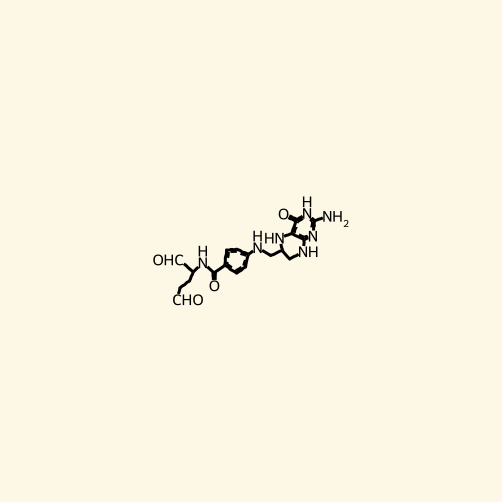 Nc1nc2c(c(=O)[nH]1)NC(CNc1ccc(C(=O)NC(C=O)CCC=O)cc1)CN2